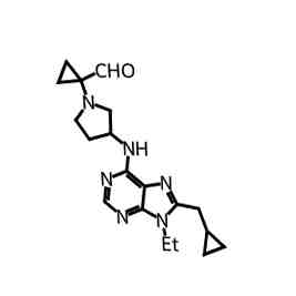 CCn1c(CC2CC2)nc2c(NC3CCN(C4(C=O)CC4)C3)ncnc21